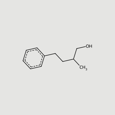 CC(CO)CCc1ccccc1